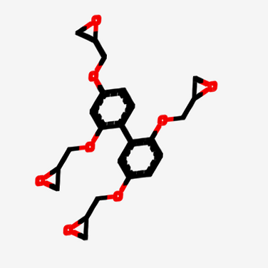 c1cc(-c2cc(OCC3CO3)ccc2OCC2CO2)c(OCC2CO2)cc1OCC1CO1